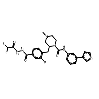 CN1CCN(C(=O)Nc2cccc(-c3ccoc3)c2)C(Cc2ccc(C(=O)NNC(=O)C(F)F)cc2F)C1